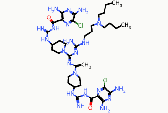 C=C(/N=C(\N=C(/N)NCCCN(CCCC)CCCC)N1CCC(NC(=N)NC(=O)c2nc(Cl)c(N)nc2N)CC1)N1CCC(NC(=N)NC(=O)c2nc(Cl)c(N)nc2N)CC1